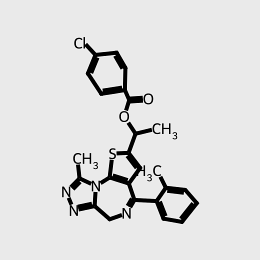 Cc1ccccc1C1=NCc2nnc(C)n2-c2sc(C(C)OC(=O)c3ccc(Cl)cc3)cc21